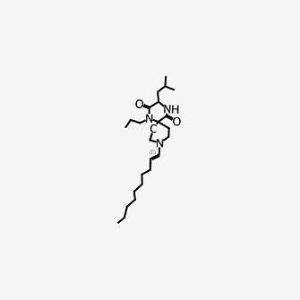 CCCCCCCC/C=C/N1CCC2(CC1)C(=O)NC(CC(C)C)C(=O)N2CCC